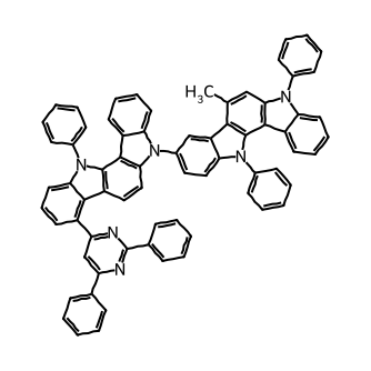 Cc1cc2c(c3ccccc3n2-c2ccccc2)c2c1c1cc(-n3c4ccccc4c4c3ccc3c5c(-c6cc(-c7ccccc7)nc(-c7ccccc7)n6)cccc5n(-c5ccccc5)c34)ccc1n2-c1ccccc1